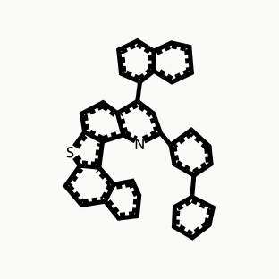 c1ccc(-c2cccc(-c3cc(-c4cccc5ccccc45)c4ccc5sc6ccc7ccccc7c6c5c4n3)c2)cc1